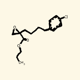 CCCOC(=O)C1(CCCCc2ccc(Cl)cc2)CO1